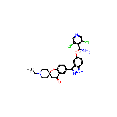 CCN1CCC2(CC1)CC(=O)c1cc(-c3n[nH]c4ccc(O[C@H](N)c5c(Cl)cncc5Cl)cc34)ccc1O2